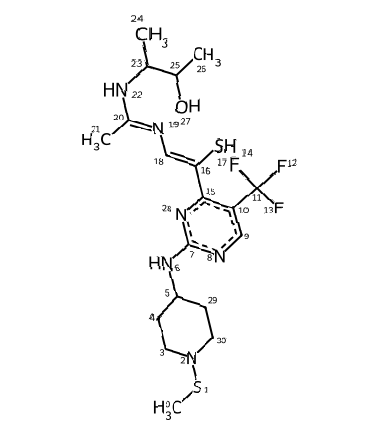 CSN1CCC(Nc2ncc(C(F)(F)F)c(/C(S)=C/N=C(\C)NC(C)C(C)O)n2)CC1